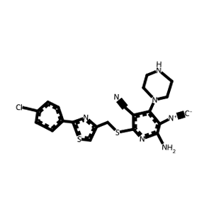 [C-]#[N+]c1c(N)nc(SCc2csc(-c3ccc(Cl)cc3)n2)c(C#N)c1N1CCNCC1